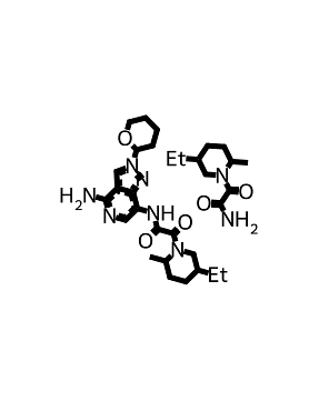 CCC1CCC(C)N(C(=O)C(=O)Nc2cnc(N)c3cn(C4CCCCO4)nc23)C1.CCC1CCC(C)N(C(=O)C(N)=O)C1